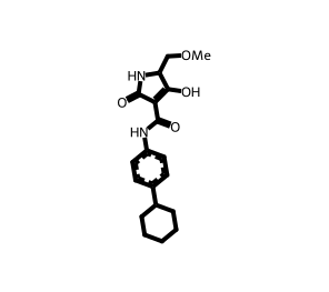 COCC1NC(=O)C(C(=O)Nc2ccc(C3CCCCC3)cc2)=C1O